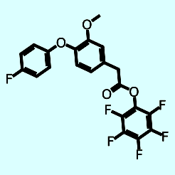 COc1cc(CC(=O)Oc2c(F)c(F)c(F)c(F)c2F)ccc1Oc1ccc(F)cc1